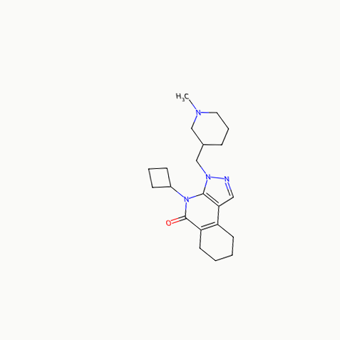 CN1CCCC(Cn2ncc3c4c(c(=O)n(C5CCC5)c32)CCCC4)C1